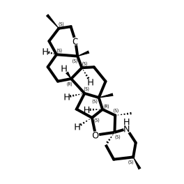 C[C@H]1CC[C@]2(NC1)O[C@H]1C[C@H]3[C@@H]4CC[C@H]5C[C@@H](C)CC[C@]5(C)[C@H]4CC[C@]3(C)[C@H]1[C@@H]2C